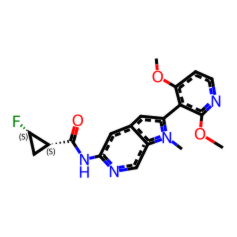 COc1ccnc(OC)c1-c1cc2cc(NC(=O)[C@@H]3C[C@@H]3F)ncc2n1C